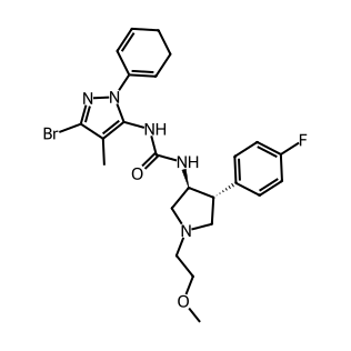 COCCN1C[C@@H](NC(=O)Nc2c(C)c(Br)nn2C2=CCCC=C2)[C@H](c2ccc(F)cc2)C1